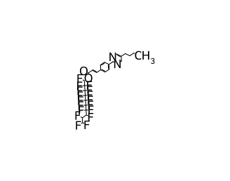 CCCCc1cnc(-c2ccc(C=CC(=O)OC(F)C(F)(F)C(F)(F)C(F)(F)C(F)(F)C(F)(F)C(F)(F)C(F)C(F)C(F)F)cc2)nc1